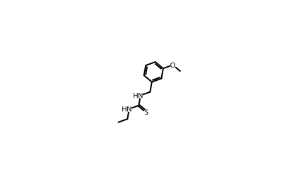 CCNC(=S)NCc1cccc(OC)c1